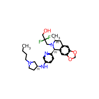 CCCCN1CC[C@H](Nc2ccc([C@@H]3c4cc5c(cc4C[C@@H](C)N3CC(F)(F)CO)OCO5)nc2)C1